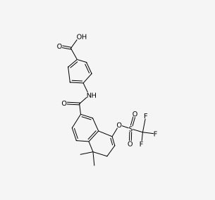 CC1(C)CC=C(OS(=O)(=O)C(F)(F)F)c2cc(C(=O)Nc3ccc(C(=O)O)cc3)ccc21